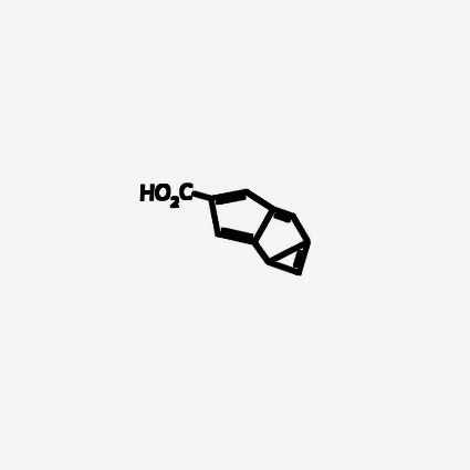 O=C(O)C1=CC2=CC3=CC3C2=C1